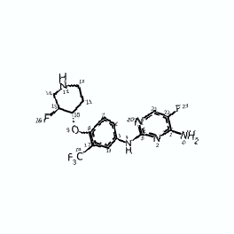 Nc1nc(Nc2ccc(O[C@H]3CCNC[C@@H]3F)c(C(F)(F)F)c2)ncc1F